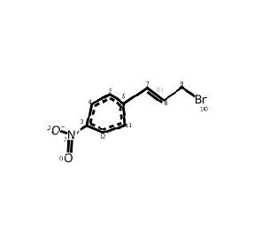 O=[N+]([O-])c1ccc(/C=C/CBr)cc1